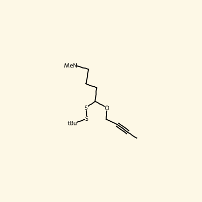 CC#CCOC(CCCNC)SSC(C)(C)C